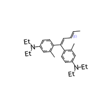 C/C=C/C=C(c1ccc(N(CC)CC)cc1C)c1ccc(N(CC)CC)cc1C